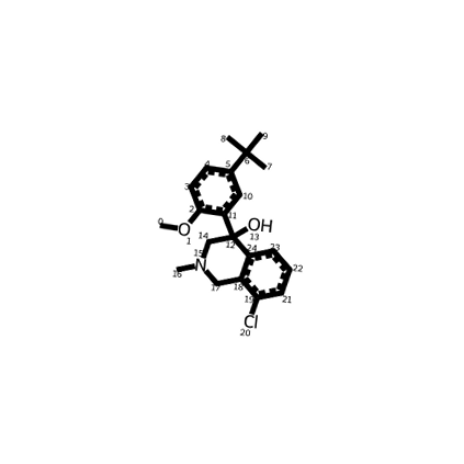 COc1ccc(C(C)(C)C)cc1C1(O)CN(C)Cc2c(Cl)cccc21